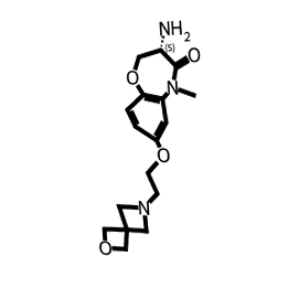 CN1C(=O)[C@@H](N)COc2ccc(OCCN3CC4(COC4)C3)cc21